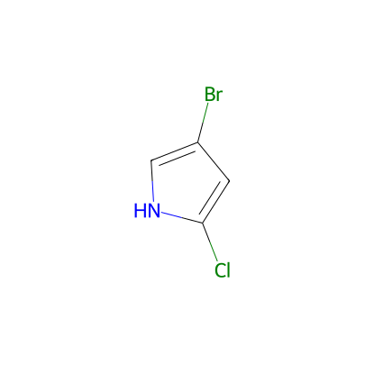 Clc1cc(Br)c[nH]1